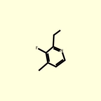 CCc1nccc(C)c1F